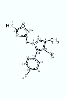 Cc1cc(Cn2nc(C)c(Br)c2-c2ccc(F)cc2)no1